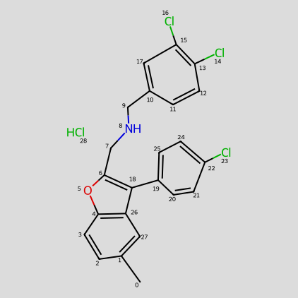 Cc1ccc2oc(CNCc3ccc(Cl)c(Cl)c3)c(-c3ccc(Cl)cc3)c2c1.Cl